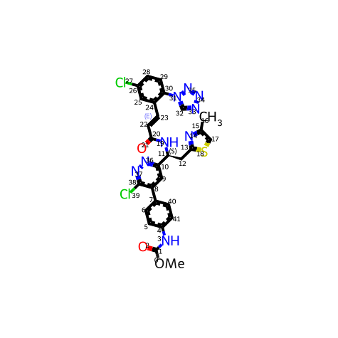 COC(=O)Nc1ccc(-c2cc([C@H](Cc3nc(C)cs3)NC(=O)/C=C/c3cc(Cl)ccc3-n3cnnn3)nnc2Cl)cc1